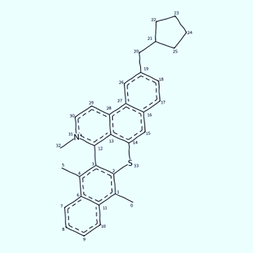 Cc1c2c(c(C)c3ccccc13)-c1c3c(cc4ccc(CC5CCCC5)cc4c3cc[n+]1C)S2